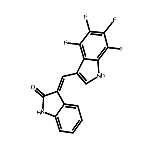 O=C1Nc2ccccc2/C1=C\c1c[nH]c2c(F)c(F)c(F)c(F)c12